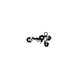 O=C(c1ccc(OCCCN2CCCCC2)c(F)c1)N1CCC[C@H]1CN1CCCC1